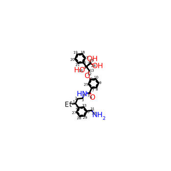 CCC(CCNC(=O)c1cccc(OCC(O)(c2ccccc2)C(O)O)c1)c1cccc(CN)c1